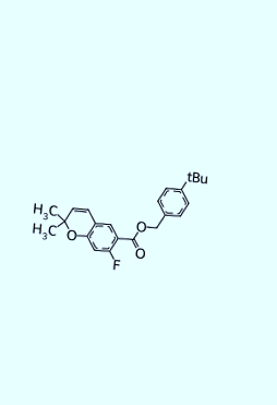 CC1(C)C=Cc2cc(C(=O)OCc3ccc(C(C)(C)C)cc3)c(F)cc2O1